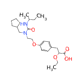 CCOC(Cc1ccc(OCCN(CC2CCCC2)C(=O)NC(C)CC)cc1)C(=O)O